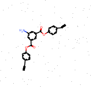 C#Cc1ccc(OC(=O)c2cc(N)cc(C(=O)Oc3ccc(C#C)cc3)c2)cc1